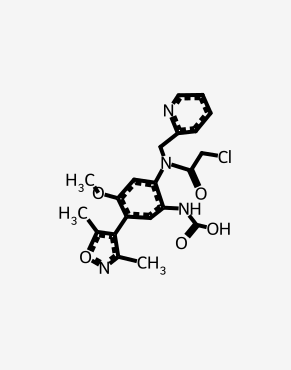 COc1cc(N(Cc2ccccn2)C(=O)CCl)c(NC(=O)O)cc1-c1c(C)noc1C